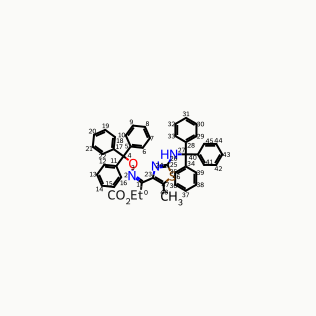 CCOC(=O)C(=NOC(c1ccccc1)(c1ccccc1)c1ccccc1)c1nc(NC(c2ccccc2)(c2ccccc2)c2ccccc2)sc1C